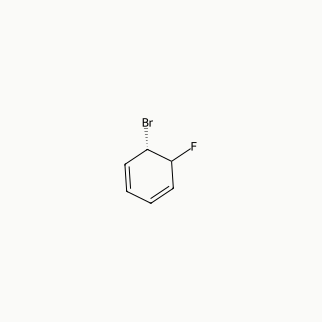 FC1C=CC=C[C@@H]1Br